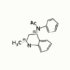 CC(=O)N(c1ccccc1)[C@H]1C[C@@H](C)[N]c2ccccc21